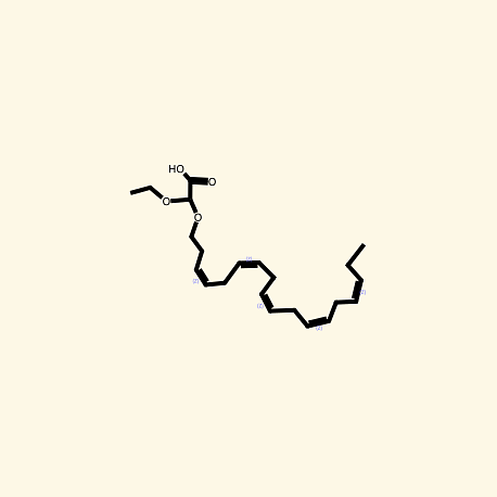 CC/C=C\C/C=C\C/C=C\C/C=C\C/C=C\CCOC(OCC)C(=O)O